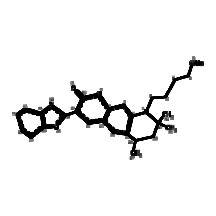 COCCCCN1c2cc3oc(=O)c(-c4nc5ccccc5o4)cc3cc2C(C)CC1(C)C